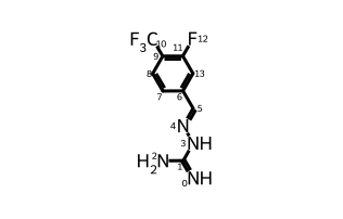 N=C(N)NN=Cc1ccc(C(F)(F)F)c(F)c1